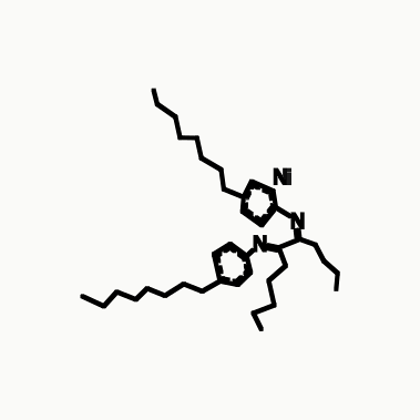 CCCCCCCCc1ccc(N=C(CCCC)C(CCCCC)=Nc2ccc(CCCCCCCC)cc2)cc1.[Ni]